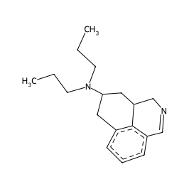 CCCN(CCC)C1Cc2cccc3c2C(CN=C3)C1